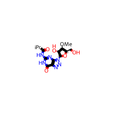 CO[C@H]1[C@@H](O)[C@H](n2nnc3c(=O)[nH]c(NC(=O)C(C)C)nc32)O[C@@H]1CO